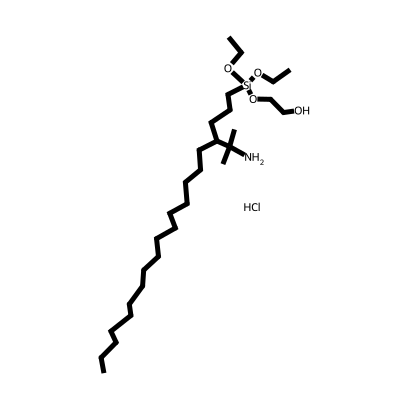 CCCCCCCCCCCCCCCCC(CCC[Si](OCC)(OCC)OCCO)C(C)(C)N.Cl